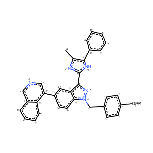 COc1ccc(Cn2nc(-c3nc(C)c(-c4ccccc4)[nH]3)c3cc(-c4cncc5ccccc45)ccc32)cc1